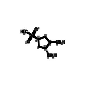 CS(=O)(=O)[C@@H]1C[C@@H](C(=O)O)N(C(=O)O)C1